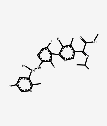 CNC(=O)/C(=N/C(C)C)c1cnc(-c2c(F)ccc(N[SH](S)c3cc(Cl)cnc3C)c2F)c(F)c1C